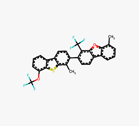 Cc1cccc2c1oc1c(C(F)(F)F)c(-c3ccc4c(sc5c(OC(F)(F)F)cccc54)c3C)ccc12